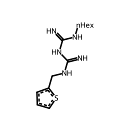 CCCCCCNC(=N)NC(=N)NCc1cccs1